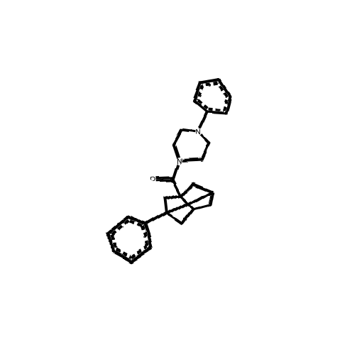 O=C(N1CCN(c2ccccc2)CC1)C12CC3CC1CC3(c1ccccc1)C2